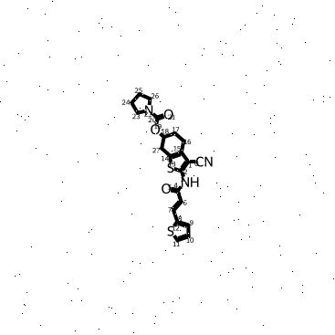 N#Cc1c(NC(=O)C=Cc2cccs2)sc2c1CCC(OC(=O)N1CCCC1)C2